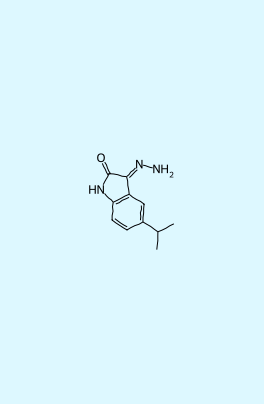 CC(C)c1ccc2c(c1)/C(=N\N)C(=O)N2